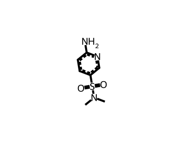 CN(C)S(=O)(=O)c1ccc(N)nc1